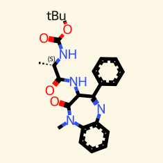 C[C@H](NC(=O)OC(C)(C)C)C(=O)NC1C(=O)N(C)c2ccccc2N=C1c1ccccc1